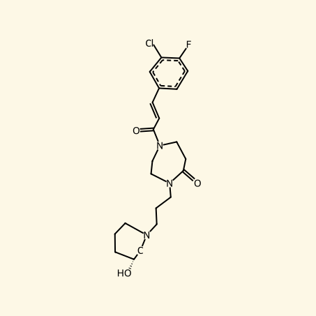 O=C(/C=C/c1ccc(F)c(Cl)c1)N1CCC(=O)N(CCCN2CCC[C@@H](O)C2)CC1